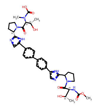 COC(=O)N[C@H](C(=O)N1CCCC1c1ncc(-c2ccc(-c3ccc(-c4cnc([C@@H]5CCCN5C(=O)[C@H]([C@H](C)O)N(C)C(=O)O)[nH]4)cc3)cc2)[nH]1)[C@H](C)O